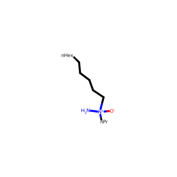 CCCCCCCCCCC[N+](N)([O-])CCC